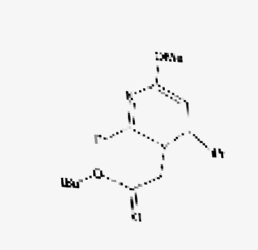 COC1=CC(C(C)C)C(CC(=O)OC(C)(C)C)C(C(C)C)=N1